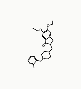 CCOc1cc2c(cc1OCC)C(=O)C(CC1CCN(Cc3ccccc3C)CC1)C2